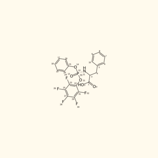 O=C(O)C(Cc1ccccc1)N[P@](=O)(Oc1ccccc1)Oc1c(F)c(F)c(F)c(F)c1F